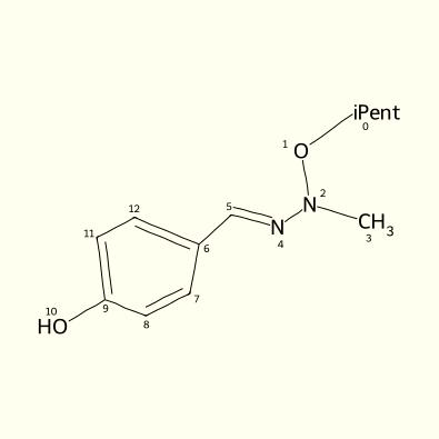 CCCC(C)ON(C)/N=C/c1ccc(O)cc1